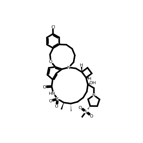 C[C@@H]1[C@@H](C)CCC[C@](O)(CN2CC[C@H](S(C)(=O)=O)C2)[C@@H]2CC[C@H]2CN2CCCCc3cc(Cl)ccc3COc3ccc(cc32)C(=O)NS1(=O)=O